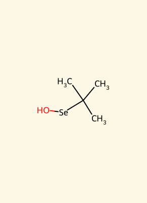 CC(C)(C)[Se]O